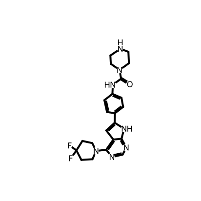 O=C(Nc1ccc(-c2cc3c(N4CCC(F)(F)CC4)ncnc3[nH]2)cc1)N1CCNCC1